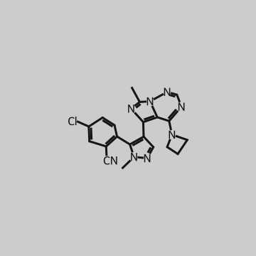 Cc1nc(-c2cnn(C)c2-c2ccc(Cl)cc2C#N)c2c(N3CCC3)ncnn12